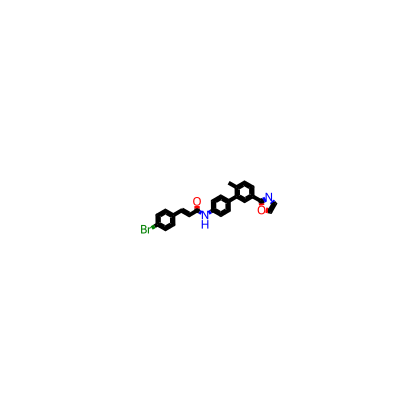 Cc1ccc(-c2ncco2)cc1-c1ccc(NC(=O)/C=C/c2ccc(Br)cc2)cc1